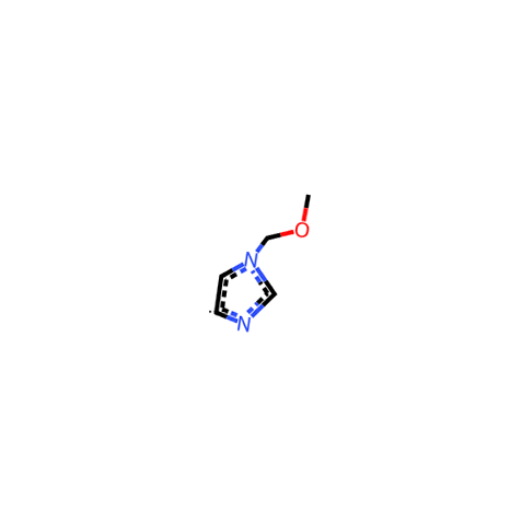 COCn1c[c]nc1